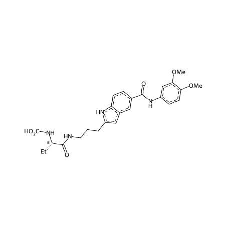 CC[C@H](NC(=O)O)C(=O)NCCCc1cc2cc(C(=O)Nc3ccc(OC)c(OC)c3)ccc2[nH]1